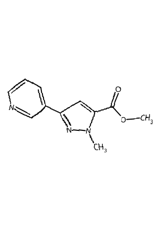 COC(=O)c1cc(-c2cccnc2)nn1C